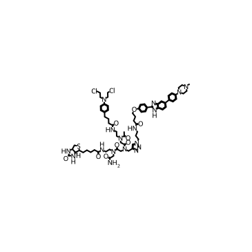 CC(=O)N(CCNC(=O)CCCc1ccc(N(CCCl)CCCl)cc1)CC(=O)N(CC(=O)N(CCNC(=O)CCCCC1SCC2NC(=O)N[C@H]21)CC(N)=O)Cc1cn(CCCNC(=O)CCCOc2ccc(-c3nc4cc(-c5ccc(N6CCN(C)CC6)cc5)ccc4[nH]3)cc2)nn1